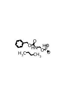 CCCC.O=C(NCO[PH](=O)O)OCc1ccccc1